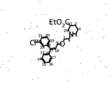 CCOC(=O)[C@@H]1CCCN(CCOC/C=C(/c2ccccc2)c2cccc(Cl)c2)C1